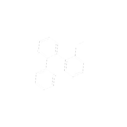 COc1ccccc1-c1cccnc1-c1ccccn1